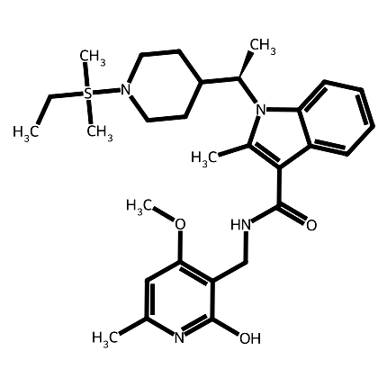 CCS(C)(C)N1CCC([C@@H](C)n2c(C)c(C(=O)NCc3c(OC)cc(C)nc3O)c3ccccc32)CC1